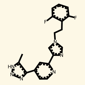 Cc1[nH]nnc1-c1ccnc(-c2cn(CCc3c(F)cccc3F)cn2)c1